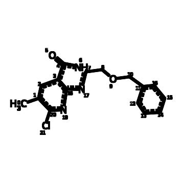 Cc1cc2c(=O)[nH]c(COCc3ccccc3)nc2nc1Cl